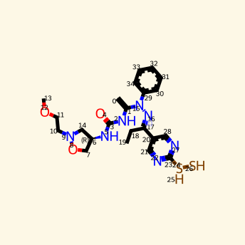 C=C(NC(=O)N[C@H]1CON(CCOC)C1)N(/N=C(\CC)c1cnc([SH](C)S)nc1)c1ccccc1